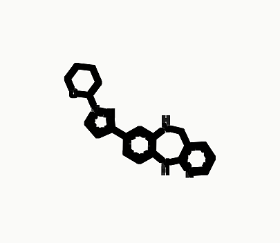 c1cnc2c(c1)CNc1cc(-c3ccn(C4CCCCO4)n3)ccc1N2